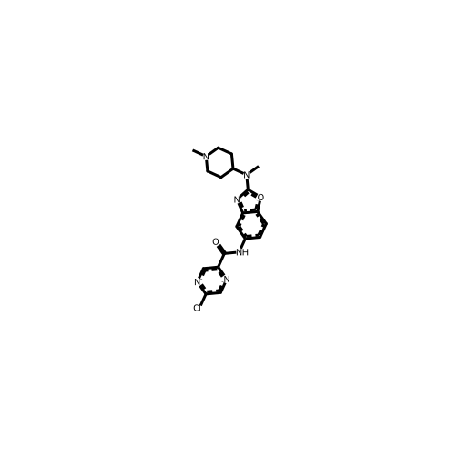 CN1CCC(N(C)c2nc3cc(NC(=O)c4cnc(Cl)cn4)ccc3o2)CC1